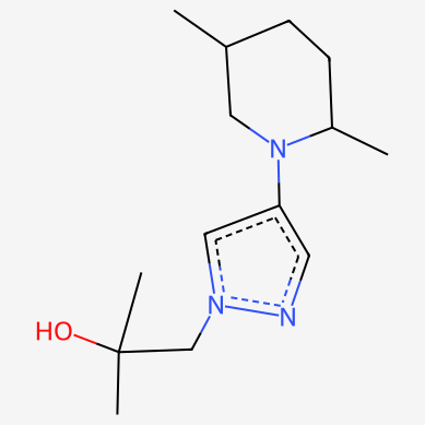 CC1CCC(C)N(c2cnn(CC(C)(C)O)c2)C1